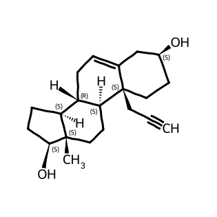 C#CC[C@]12CC[C@H](O)CC1=CC[C@@H]1[C@@H]2CC[C@]2(C)[C@@H](O)CC[C@@H]12